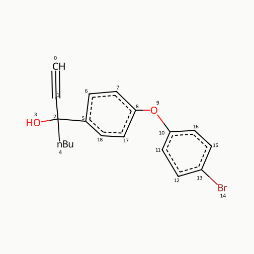 C#CC(O)(CCCC)c1ccc(Oc2ccc(Br)cc2)cc1